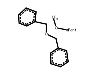 CCCCCOC(F)(F)F.c1ccc(COCc2ccccc2)cc1